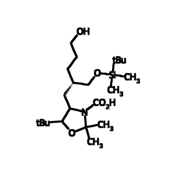 CC(C)(C)C1OC(C)(C)N(C(=O)O)C1C[C@H](CCCO)CO[Si](C)(C)C(C)(C)C